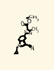 CCOC(=O)c1sc(-c2ccc3c(c2)c(C#N)cn3CC2CC2)nc1C